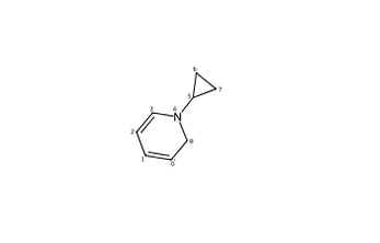 [C]1=CC=CN(C2CC2)C1